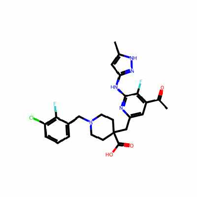 CC(=O)c1cc(CC2(C(=O)O)CCN(Cc3cccc(Cl)c3F)CC2)nc(Nc2cc(C)[nH]n2)c1F